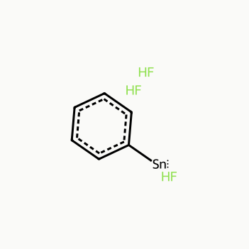 F.F.F.[Sn][c]1ccccc1